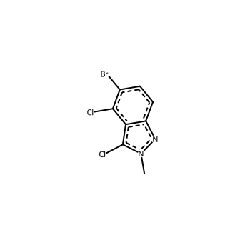 Cn1nc2ccc(Br)c(Cl)c2c1Cl